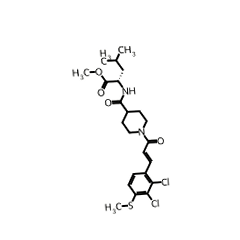 COC(=O)[C@H](CC(C)C)NC(=O)C1CCN(C(=O)/C=C/c2ccc(SC)c(Cl)c2Cl)CC1